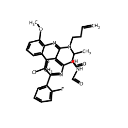 C=CCCN(/C(=N/c1c(OC)cccc1OC)c1cc(Cl)c(-c2ccccc2F)nc1NC=O)C(C)CNC=O